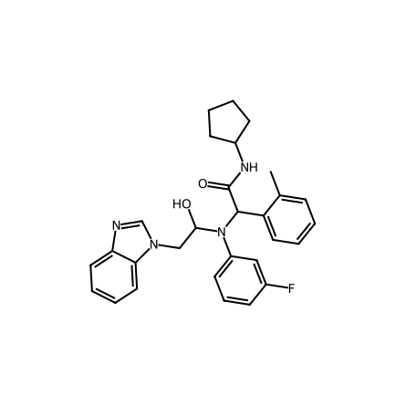 Cc1ccccc1C(C(=O)NC1CCCC1)N(c1cccc(F)c1)C(O)Cn1cnc2ccccc21